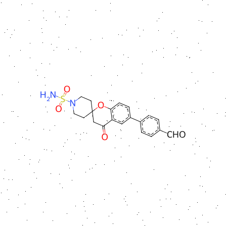 NS(=O)(=O)N1CCC2(CC1)CC(=O)c1cc(-c3ccc(C=O)cc3)ccc1O2